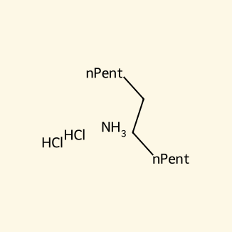 CCCCCCCCCCCC.Cl.Cl.N